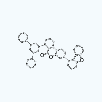 O=c1oc2cc(-c3cccc4oc5ccccc5c34)ccc2c2cccc(-c3cc(-c4ccccc4)cc(-c4ccccc4)c3)c12